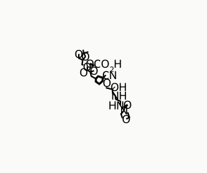 CC1(C)OCC(COC(=O)C(Cc2ccc(OC[C@@H](O)CNCCNC(=O)N3CCOCC3)c(C#N)c2)OC(=O)C(=O)O)O1